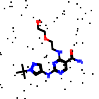 CC(C)(C)n1cc(Nc2ncc(C(N)=O)c(NCCOCCO)n2)cn1